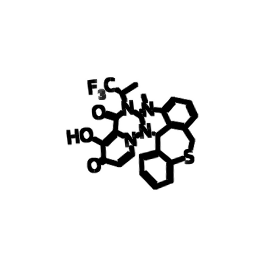 C[C@@H](N1CN([C@H]2c3ccccc3SCc3cccc(N(C)C)c32)n2ccc(=O)c(O)c2C1=O)C(F)(F)F